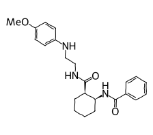 COc1ccc(NCCNC(=O)[C@@H]2CCCC[C@@H]2NC(=O)c2ccccc2)cc1